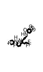 COc1cc(S(C)(=O)=O)ccc1NCC#Cc1nn2c(N[C@@H]3CCN(C)C[C@@H]3F)cccc2c1/C=C/C(F)(F)F